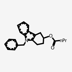 CCCC(=O)OC1CCc2c(c3ccccc3n2Cc2ccccc2)C1